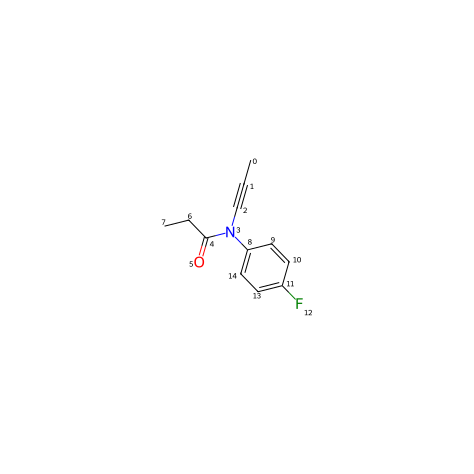 CC#CN(C(=O)CC)c1ccc(F)cc1